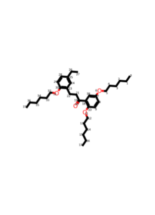 CCCCCCOc1ccc(OCCCCCC)c(C(=O)CCc2cc(CC)ccc2OCCCCCC)c1